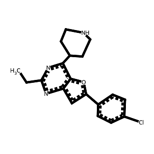 CCc1nc(C2CCNCC2)c2oc(-c3ccc(Cl)cc3)cc2n1